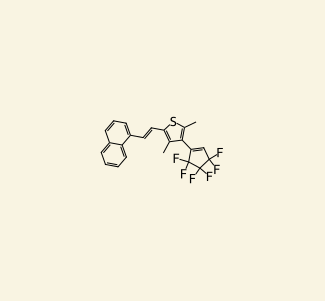 Cc1sc(C=Cc2cccc3ccccc23)c(C)c1C1=CC(F)(F)C(F)(F)C1(F)F